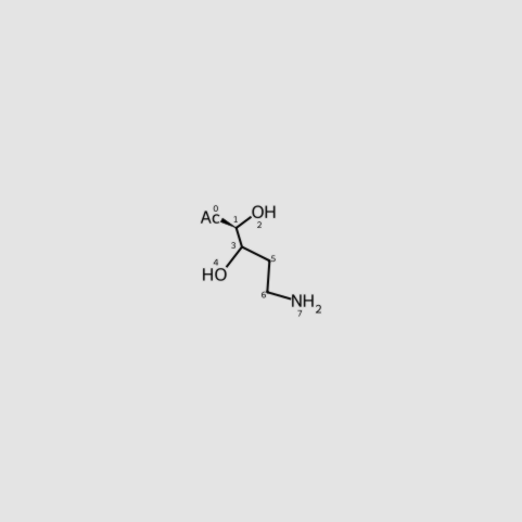 CC(=O)[C@@H](O)C(O)CCN